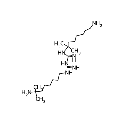 CC(C)(N)CCCCCCNC(=N)NC(=N)NC(C)(C)CCCCCCN